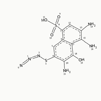 [N-]=[N+]=NSc1cc2c(S(=O)(=O)O)cc(N)c(N)c2c(O)c1N